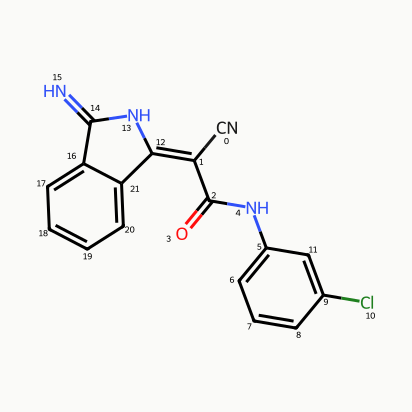 N#CC(C(=O)Nc1cccc(Cl)c1)=C1NC(=N)c2ccccc21